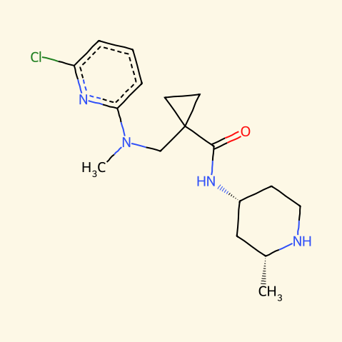 C[C@@H]1C[C@H](NC(=O)C2(CN(C)c3cccc(Cl)n3)CC2)CCN1